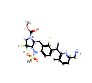 CCS(=O)(=O)N[C@@H]1[C@H](Cc2cccc(C(C)c3nc(CN)ccc3C)c2F)N(C(=O)OC(C)(C)C)CC1(F)F